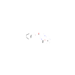 C=C(N[C@@H](CN)C(=O)OCc1ccccc1)OC(C)(C)C